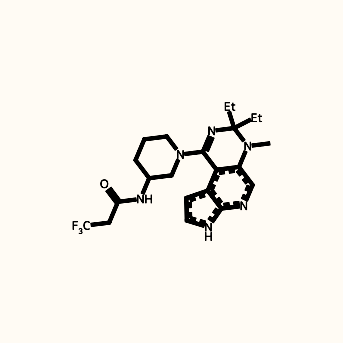 CCC1(CC)N=C(N2CCCC(NC(=O)CC(F)(F)F)C2)c2c(cnc3[nH]ccc23)N1C